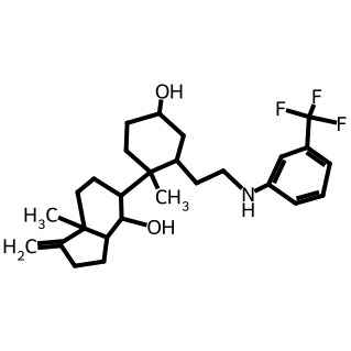 C=C1CCC2C(O)C(C3(C)CCC(O)CC3CCNc3cccc(C(F)(F)F)c3)CCC12C